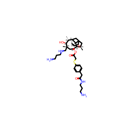 C[C@@H]1CC23C[C@@]4(CCC2=O)[C@@H]3[C@]1(C)[C@H](OC(=O)CSc1ccc(CC(=O)NCCCN)cc1)C[C@](C)(CNCCCN)[C@@H](O)[C@@H]4C